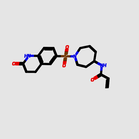 C=CC(=O)NC1CCCN(S(=O)(=O)c2ccc3c(c2)CCC(=O)N3)CC1